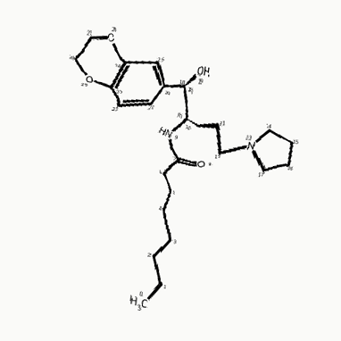 CCCCCCCC(=O)N[C@H](CCN1CCCC1)[C@H](O)c1ccc2c(c1)OCCO2